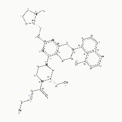 CN1CCC[C@H]1COc1nc2c(c(N3CCN(C(=O)/C=C/CBr)[C@@H](CC#N)C3)n1)CCN(c1cccc3cccc(Cl)c13)C2